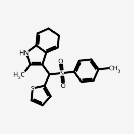 Cc1ccc(S(=O)(=O)C(c2cccs2)c2c(C)[nH]c3c2=CCCC=3)cc1